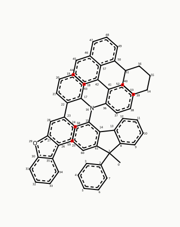 CC1(c2ccccc2)c2ccccc2-c2c(N(c3ccccc3-c3ccc4c(c3)oc3ccccc34)c3ccccc3-c3cccc4cccc(C5CCCCC5)c34)cccc21